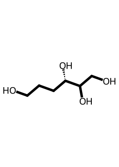 OCCC[C@H](O)C(O)CO